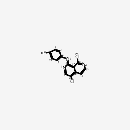 Fc1ccc(Oc2ncc(Cl)c3ccnc(Cl)c23)cc1